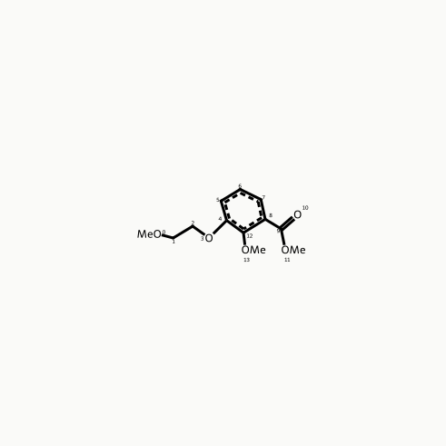 COCCOc1cccc(C(=O)OC)c1OC